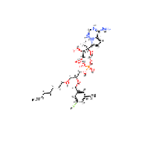 CCCCCCCCCCCCCCCOC[C@H](COP(=O)(O)O[C@H]1O[C@@](C#N)(c2ccc3c(N)ncnn23)[C@H](O)[C@@H]1O)OCc1cc(F)cc(C#N)c1